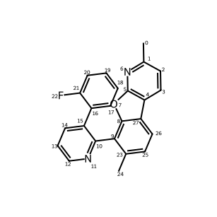 Cc1ccc2c(n1)oc1c(-c3ncccc3-c3ccccc3F)c(C)ccc12